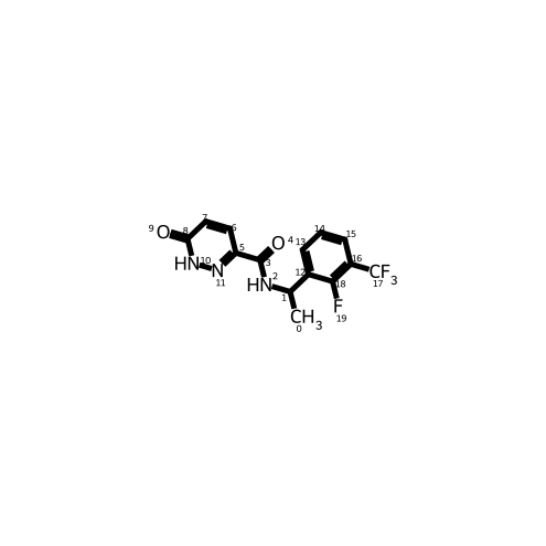 CC(NC(=O)c1ccc(=O)[nH]n1)c1cccc(C(F)(F)F)c1F